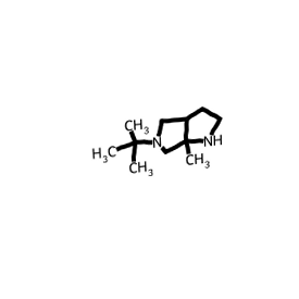 CC12CN(C(C)(C)C)CC1CCN2